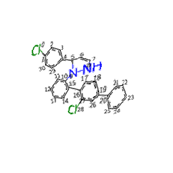 Clc1ccc(C2C=CNN2c2ccccc2-c2ccc(-c3ccccc3)cc2Cl)cc1